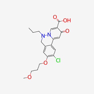 CCCN1Cc2cc(OCCCOC)c(Cl)cc2-c2cc(=O)c(C(=O)O)cn21